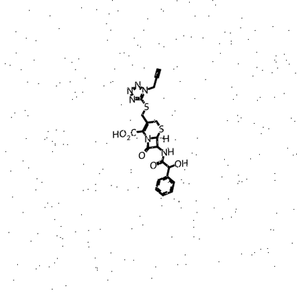 C#CCn1nnnc1SCC1=C(C(=O)O)N2C(=O)C(NC(=O)C(O)c3ccccc3)[C@@H]2SC1